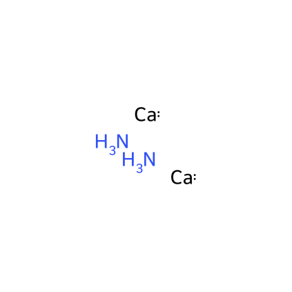 N.N.[Ca].[Ca]